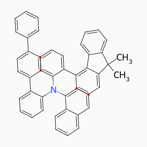 CC1(C)c2ccccc2-c2c(-c3ccccc3N(c3ccccc3-c3ccc(-c4ccccc4)cc3)c3cccc4ccccc34)cccc21